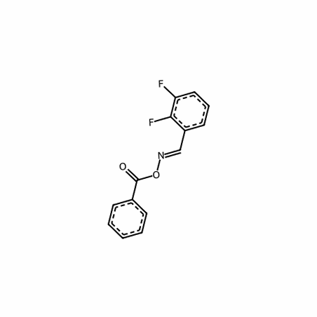 O=C(ON=Cc1cccc(F)c1F)c1ccccc1